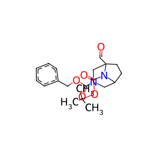 CC(C)(C)OC(=O)N1C2CCC1(C=O)CN(C(=O)OCc1ccccc1)C2